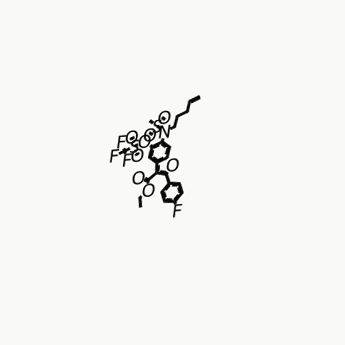 C=CCCCN(c1cc2oc(-c3ccc(F)cc3)c(C(=O)OCC)c2cc1OS(=O)(=O)C(F)(F)F)S(C)(=O)=O